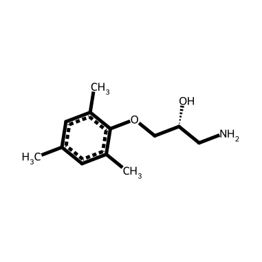 Cc1cc(C)c(OC[C@H](O)CN)c(C)c1